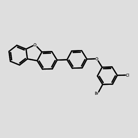 Clc1cc(Br)cc(Oc2ccc(-c3ccc4c(c3)oc3ccccc34)cc2)c1